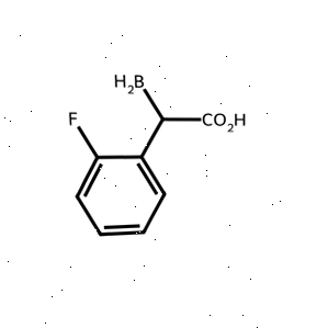 BC(C(=O)O)c1ccccc1F